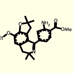 CCOc1cc2c(c3c1OC(C)(C)C3)C(c1ccc(C(=O)OC)c(N)c1)=NC(C)(C)C2